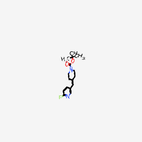 CC(C)(C)OC(=O)N1CCC(=Cc2ccc(F)nc2)CC1